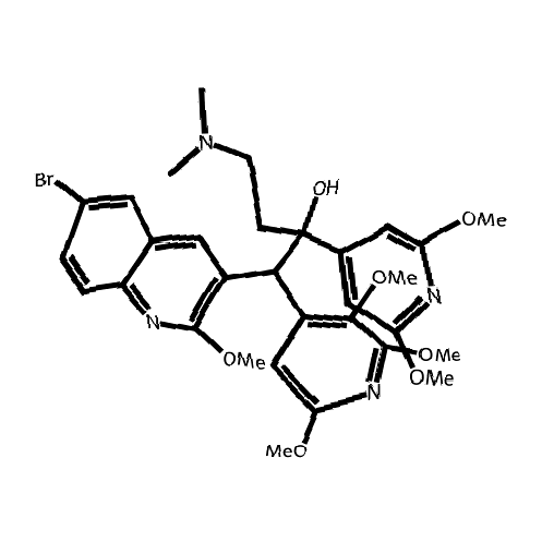 COc1cc(C(O)(CCN(C)C)C(c2cc3cc(Br)ccc3nc2OC)c2cc(OC)nc(OC)c2OC)cc(OC)n1